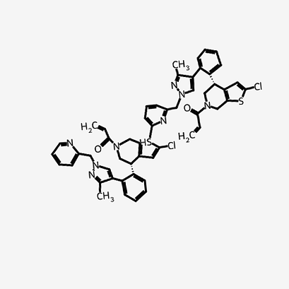 C=CC(=O)N1Cc2sc(Cl)cc2[C@@H](c2ccccc2-c2cn(Cc3cccc([SH]4C(Cl)=CC5=C4CN(C(=O)C=C)C[C@H]5c4ccccc4-c4cn(Cc5ccccn5)nc4C)n3)nc2C)C1